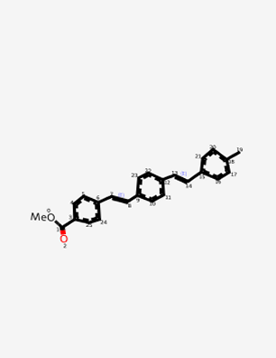 COC(=O)c1ccc(/C=C/c2ccc(/C=C/c3ccc(C)cc3)cc2)cc1